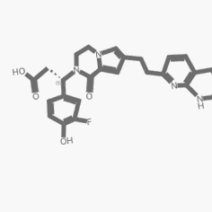 O=C(O)C[C@@H](c1ccc(O)c(F)c1)N1CCn2cc(CCc3ccc4c(n3)NCCC4)cc2C1=O